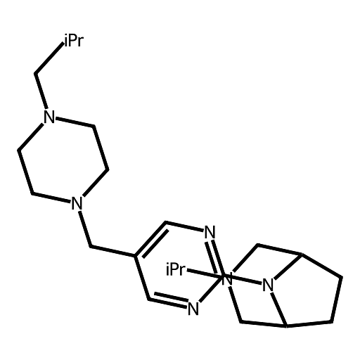 CC(C)CN1CCN(Cc2cnc(N3C4CCC3CN(C(C)C)C4)nc2)CC1